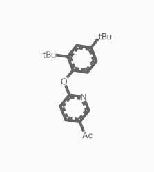 CC(=O)c1ccc(Oc2ccc(C(C)(C)C)cc2C(C)(C)C)nc1